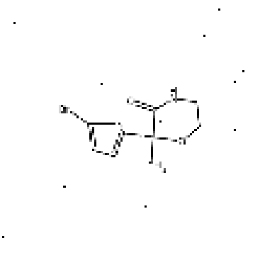 CC1(c2ccc(Br)s2)OCCNC1=O